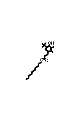 CCCCCCCCCCOC(=O)CCc1cc(C(C)(C)C)c(O)c(C)c1C